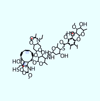 CCN(C(C)=O)C1COC(OC2C(O[C@H]3C#C/C=C\C#C[C@]4(O)CC(=O)[C@H](NC(=O)OC)C3/C4=C/CS)OC(C)C(NOC3CC(O)C(SC(=O)c4c(C)c(I)c(OC5OC(C)C(O)C(OC)C5O)c(OC)c4OC)C(C)O3)C2O)CC1OC